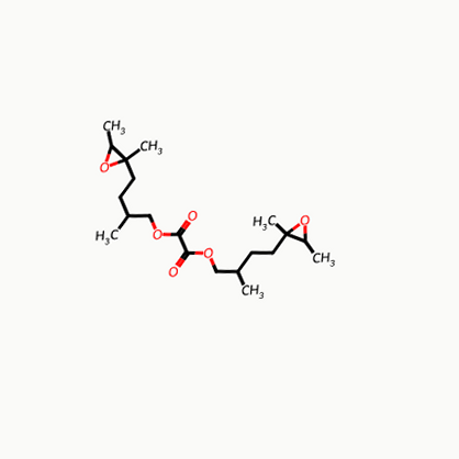 CC(CCC1(C)OC1C)COC(=O)C(=O)OCC(C)CCC1(C)OC1C